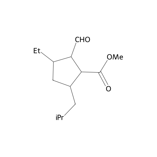 CCC1CC(CC(C)C)C(C(=O)OC)C1C=O